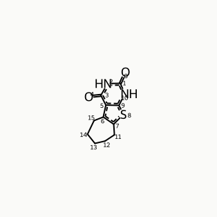 O=c1[nH]c(=O)c2c3c(sc2[nH]1)CCCCC3